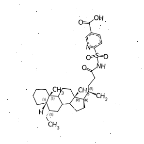 CC[C@H]1CC2C3CC[C@H]([C@H](C)CCC(=O)NS(=O)(=O)c4ccc(C(=O)O)cn4)[C@@]3(C)CCC2[C@@]2(C)CCCC[C@@H]12